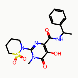 CC(NC(=O)c1nc(N2CCCCS2(=O)=O)n(C)c(=O)c1O)c1ccccc1